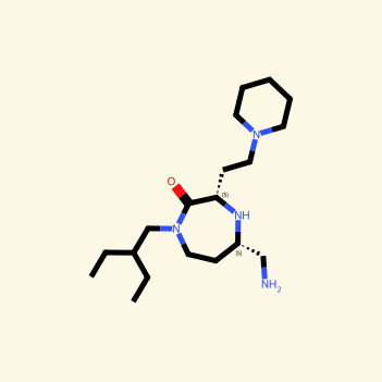 CCC(CC)CN1CC[C@@H](CN)N[C@@H](CCN2CCCCC2)C1=O